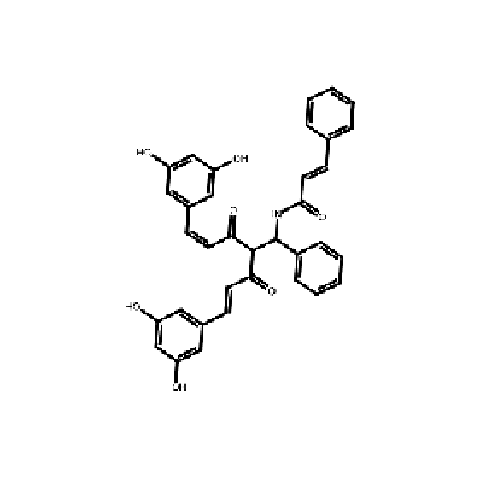 O=C(C=Cc1ccccc1)NC(c1ccccc1)C(C(=O)C=Cc1cc(O)cc(O)c1)C(=O)C=Cc1cc(O)cc(O)c1